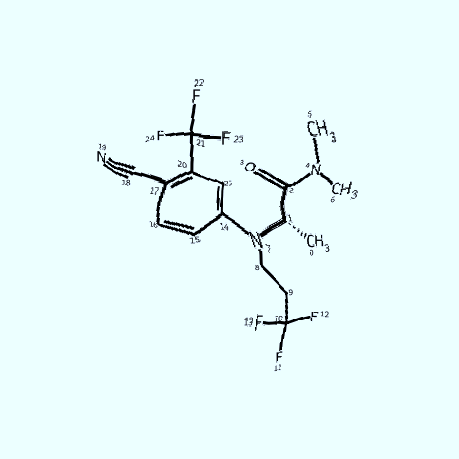 C[C@@H](C(=O)N(C)C)N(CCC(F)(F)F)c1ccc(C#N)c(C(F)(F)F)c1